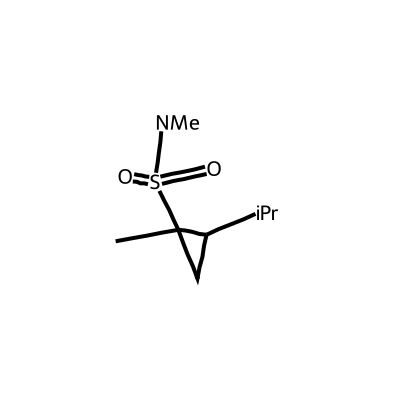 CNS(=O)(=O)C1(C)CC1C(C)C